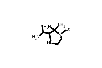 CCN1CCNC(C(C)N)C1(N)N